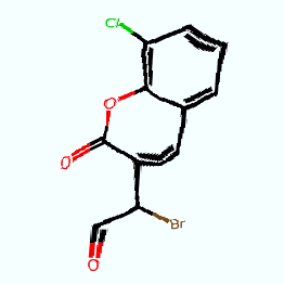 O=CC(Br)c1cc2cccc(Cl)c2oc1=O